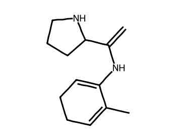 C=C(NC1=CCCC=C1C)C1CCCN1